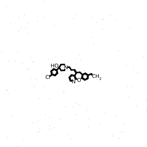 C=Cc1ccc2c(c1)C/C(=C/CCN1CCC(O)(c3ccc(Cl)cc3)CC1)c1cccnc1O2